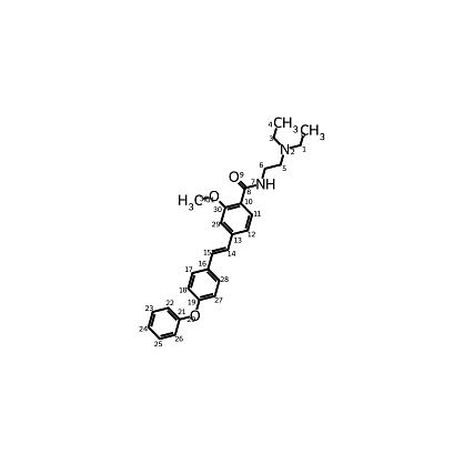 CCN(CC)CCNC(=O)c1ccc(C=Cc2ccc(Oc3ccccc3)cc2)cc1OC